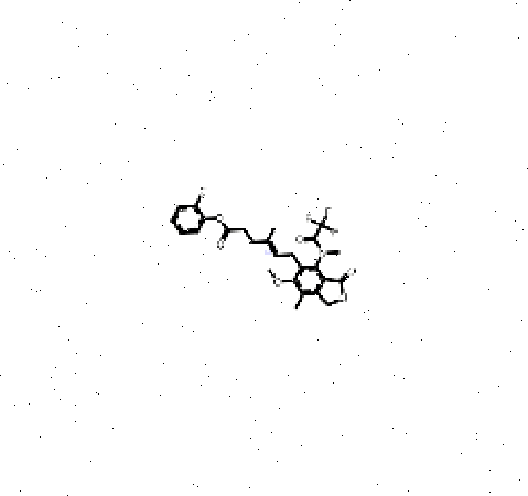 COc1c(C)c2c(c(N(C)C(=O)C(F)(F)F)c1C/C=C(\C)CCC(=O)Oc1ccccc1Cl)C(=O)OC2